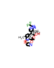 Cc1ccc([C@H](c2ccn3c(C(F)F)nnc3c2C)C(C)(C)C(=O)O)cc1CN1CC2(CC2)Oc2ncccc2S1(=O)=O